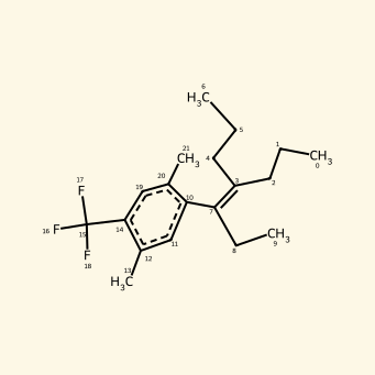 CCCC(CCC)=C(CC)c1cc(C)c(C(F)(F)F)cc1C